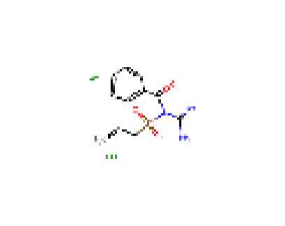 C=CCS(=O)(=O)N(C(=N)N)C(=O)c1ccccc1.Cl.Cl